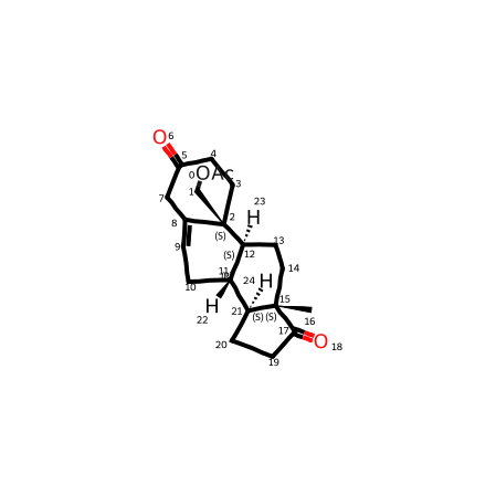 CC(=O)OC[C@]12CCC(=O)CC1=CC[C@@H]1[C@@H]2CC[C@]2(C)C(=O)CC[C@@H]12